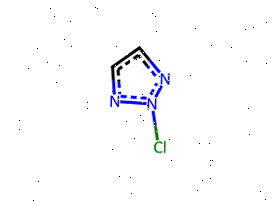 Cln1nccn1